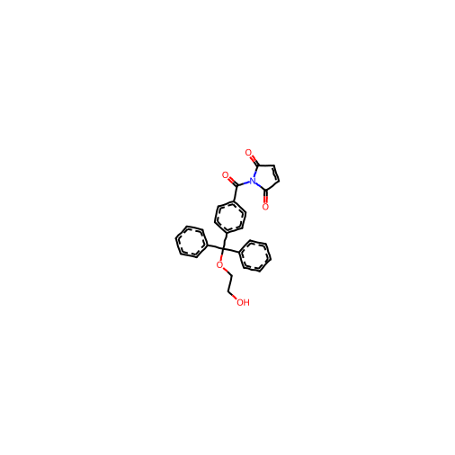 O=C1C=CC(=O)N1C(=O)c1ccc(C(OCCO)(c2ccccc2)c2ccccc2)cc1